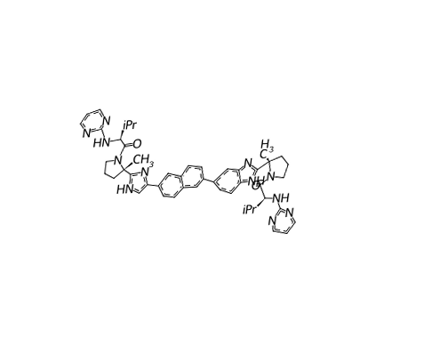 CC(C)[C@H](Nc1ncccn1)C(=O)N1CCC[C@@]1(C)c1nc(-c2ccc3cc(-c4ccc5[nH]c([C@]6(C)CCCN6C(=O)[C@@H](Nc6ncccn6)C(C)C)nc5c4)ccc3c2)c[nH]1